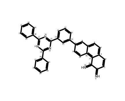 N=C1C=Cc2ccc3cc(-c4cccc(-c5nc(-c6ccccc6)nc(-c6ccccc6)n5)c4)ccc3c2C1=N